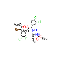 COC(=O)C(Br)c1ccc(Cl)c(Cl)c1.COC(=O)C(NC[C@@H](C)NC(=O)OC(C)(C)C)c1ccc(Cl)c(Cl)c1